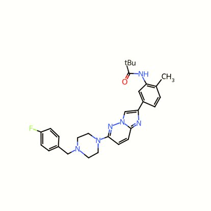 Cc1ccc(-c2cn3nc(N4CCN(Cc5ccc(F)cc5)CC4)ccc3n2)cc1NC(=O)C(C)(C)C